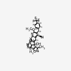 COc1nc2ccc(C(O)(c3c(C)noc3C)c3cnnn3C)cc2c(C#N)c1Cc1ccc(C(F)(F)F)cc1